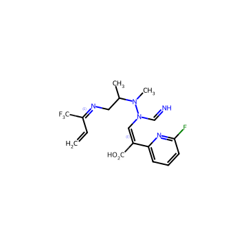 C=C/C(=N\CC(C)N(C)N(C=N)/C=C(/C(=O)O)c1cccc(F)n1)C(F)(F)F